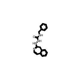 O=C(NCc1ccccc1)NNC1=NC=Cc2ccccc2C1